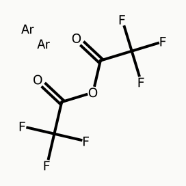 O=C(OC(=O)C(F)(F)F)C(F)(F)F.[Ar].[Ar]